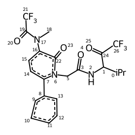 CC(C)C(NC(=O)Cn1c(-c2ccccc2)ccc(N(C)C(=O)C(F)(F)F)c1=O)C(=O)C(F)(F)F